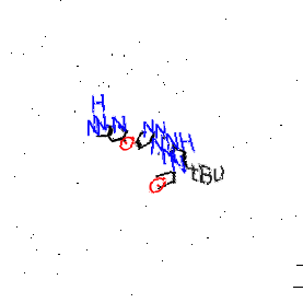 Cn1c(Nc2cc(C(C)(C)C)n([C@H]3CCOC3)n2)nc2ncc(Oc3cnc4[nH]ncc4c3)cc21